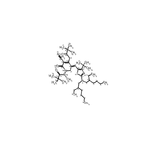 CCCCC(CC)CN(CC(CC)CCCC)c1nc(C(C)(C)C)c(/C=C2\CN(N(C)C(=O)C(C)(C)C)C(=O)C(C#N)=C2CC(C)C(C)(C)C)s1